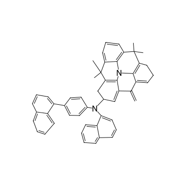 C=C1C2=CCCC3=C2N2C4=C(CC(N(c5ccc(-c6cccc7ccccc67)cc5)c5cccc6ccccc56)C=C14)C(C)(C)c1cccc(c12)C3(C)C